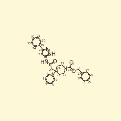 O=C(CC1(c2ccccc2)CCN(C(=O)OCc2ccccc2)CC1)Nc1cc(-c2ccccc2)n[nH]1